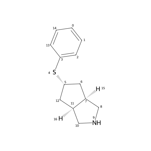 c1ccc(S[C@@H]2C[C@H]3CNC[C@H]3C2)cc1